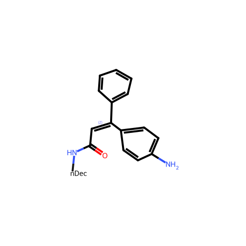 CCCCCCCCCCNC(=O)/C=C(/c1ccccc1)c1ccc(N)cc1